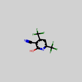 N#Cc1c(C(F)(F)F)cc(C(F)(F)F)nc1O